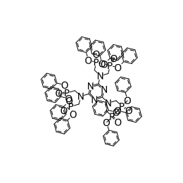 O=P(CN(CP(=O)(Oc1ccccc1)Oc1ccccc1)c1nc(N(CP(=O)(Oc2ccccc2)Oc2ccccc2)CP(=O)(Oc2ccccc2)Oc2ccccc2)nc(N(CP(=O)(Oc2ccccc2)Oc2ccccc2)CP(=O)(Oc2ccccc2)Oc2ccccc2)n1)(Oc1ccccc1)Oc1ccccc1